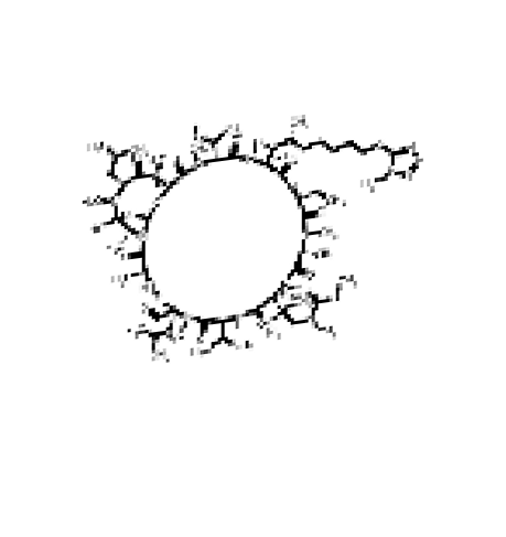 CC[C@@H]1NC(=O)[C@@H]2[C@@H]([C@H](C)CCCCCSc3nnnn3C)ON2C(=O)[C@H](C(C)C)N(C)C(=O)[C@@H]2CC(C)N(C(=O)[C@H](C)NC[C@](C=O)(CC(C)C)N(C)C(=O)[C@H](C(C)C)NC(=O)[C@H](C(C)(C)CN(C)C(=O)OC)N(C)C(=O)[C@@H](C)N(C)C1=O)[C@H](C)C(O)N(C)[C@@H](CC(C)C)C(=O)N2C